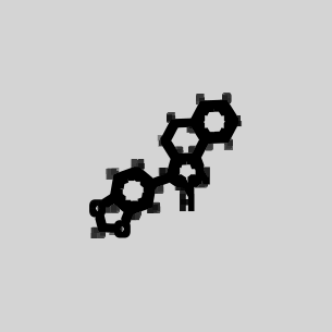 c1ccc2c(c1)CCc1c-2n[nH]c1-c1ccc2c(c1)OCO2